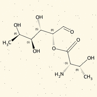 C[C@@H](O)[C@H](O)[C@H](O)[C@H](C=O)OC(=O)[C@@H](N)[C@@H](C)O